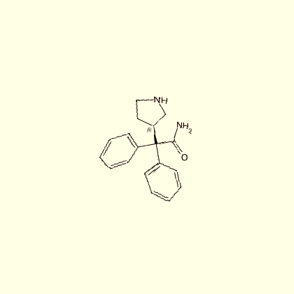 NC(=O)C(c1ccccc1)(c1ccccc1)[C@H]1CCNC1